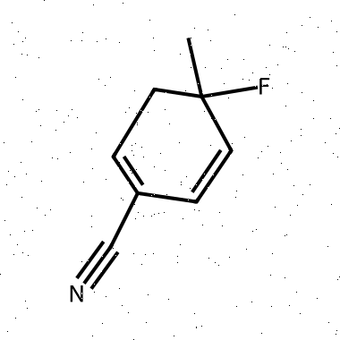 CC1(F)C=CC(C#N)=CC1